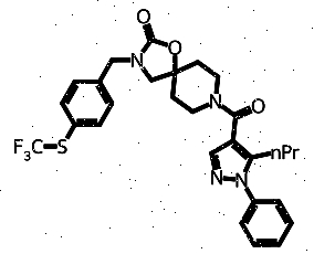 CCCc1c(C(=O)N2CCC3(CC2)CN(Cc2ccc(SC(F)(F)F)cc2)C(=O)O3)cnn1-c1ccccc1